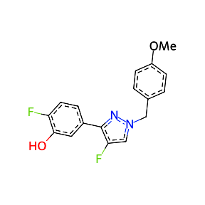 COc1ccc(Cn2cc(F)c(-c3ccc(F)c(O)c3)n2)cc1